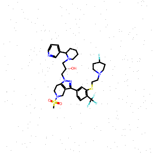 CS(=O)(=O)N1CCc2c(c(-c3ccc(C(F)(F)F)c(SCCN4CCC(F)CC4)c3)nn2C[C@@H](O)CN2CCCCC2c2cccnc2)C1